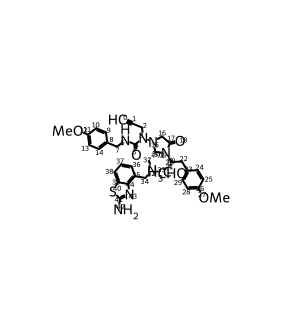 C#CCN(C(=O)NCc1ccc(OC)cc1)N1CC(=O)N([C@H](C)Cc2ccc(OC)cc2)[C@@H]1CN(C=O)Cc1cccc2sc(N)nc12